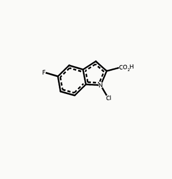 O=C(O)c1cc2cc(F)ccc2n1Cl